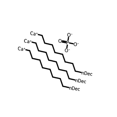 CCCCCCCCCCCCCCCCC[CH2][Ca+].CCCCCCCCCCCCCCCCC[CH2][Ca+].CCCCCCCCCCCCCCCCC[CH2][Ca+].O=P([O-])([O-])[O-]